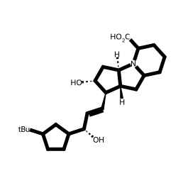 CC(C)(C)C1CCC([C@@H](O)/C=C/[C@@H]2[C@H]3CC4CCCC(C(=O)O)N4[C@@H]3C[C@H]2O)C1